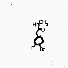 CNC(=O)Cc1ccc(Br)c(F)c1